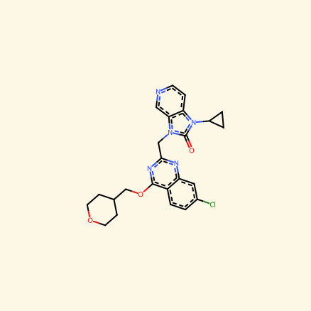 O=c1n(Cc2nc(OCC3CCOCC3)c3ccc(Cl)cc3n2)c2cnccc2n1C1CC1